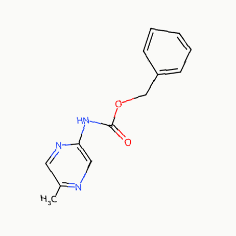 Cc1cnc(NC(=O)OCc2ccccc2)cn1